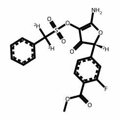 [2H]C([2H])(c1ccccc1)S(=O)(=O)OC1=C(N)O[C@]([2H])(c2ccc(C(=O)OC)c(F)c2)C1=O